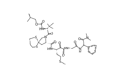 CSCCC(NC(=O)[C@@H]1CC2(CN1C(=O)[C@@H](NC(=O)OCC(C)C)C(C)(C)C)SCCCS2)C(=O)C(=O)NCC(=O)NC(C(=O)N(C)C)c1ccccc1